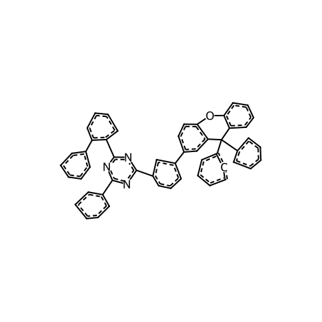 c1ccc(-c2nc(-c3cccc(-c4ccc5c(c4)C(c4ccccc4)(c4ccccc4)c4ccccc4O5)c3)nc(-c3ccccc3-c3ccccc3)n2)cc1